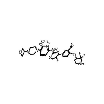 COc1nc(Nc2ncc(F)c(-c3ccc(OC4CCNCC4(F)F)c(C#N)c3)n2)ccc1N1CCN(C2COC2)CC1